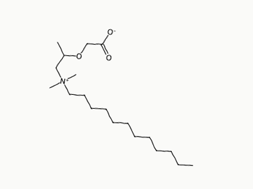 CCCCCCCCCCCC[N+](C)(C)CC(C)OCC(=O)[O-]